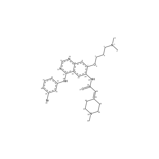 CN(C)CCCOc1cc2ncnc(Nc3cccc(Br)c3)c2cc1NC(=O)C=C1CCN(C)CC1